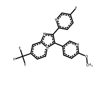 COc1ccc(-c2c(-c3ccc(F)cn3)nc3cc(C(F)(F)F)ccn23)cn1